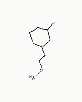 COCCN1CCCC(F)C1